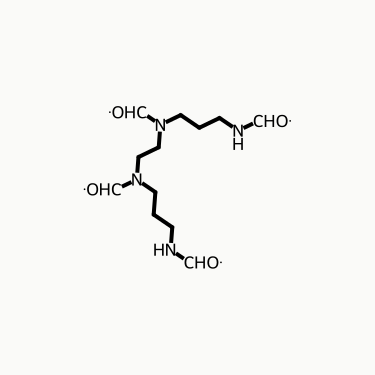 O=[C]NCCCN([C]=O)CCN([C]=O)CCCN[C]=O